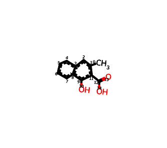 Cc1cc2ccccc2c(O)c1C(=O)O